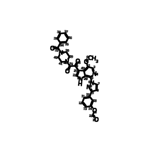 COc1cnc(-n2ccc(-c3cccc(OC=O)c3)n2)c2[nH]cc(C(=O)C(=O)N3CCN(C(=O)c4ccccc4)CC3)c12